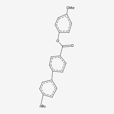 CCCCc1ccc(-c2ccc(C(=O)Oc3ccc(OC)cc3)cc2)cc1